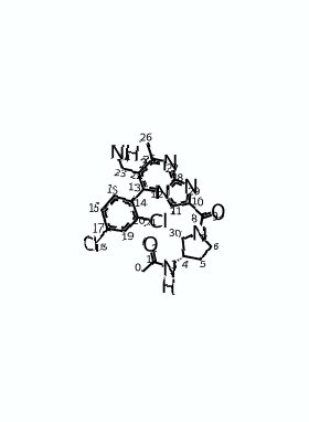 CC(=O)N[C@H]1CCN(C(=O)c2cn3c(-c4ccc(Cl)cc4Cl)c(CN)c(C)nc3n2)C1